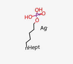 CCCCCCCCCCCCOP(=O)(O)O.[Ag]